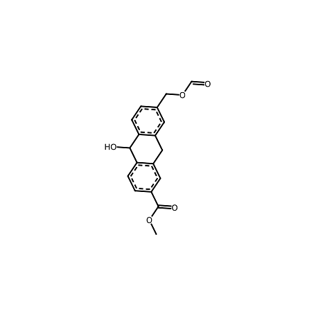 COC(=O)c1ccc2c(c1)Cc1cc(COC=O)ccc1C2O